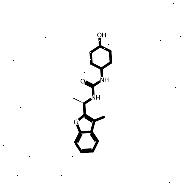 Cc1c([C@H](C)NC(=O)NC2CCC(O)CC2)oc2ccccc12